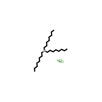 CCCCCCC[CH2][Al]([CH2]CCCCCCC)[CH2]CCCCCCC.Cl.Cl